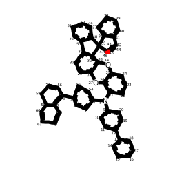 C1=CC2=C(c3ccc(N(c4ccc(-c5ccccc5)cc4)c4cccc5c4Oc4ccc6c(c4O5)C4(c5ccccc5-c5ccccc54)c4ccccc4-6)cc3)C=CCC2C=C1